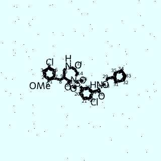 COc1ccc(Cl)cc1CC1CNC(=O)CN(S(=O)(=O)c2ccc(Cl)c(C(=O)NOCc3ccccc3)c2)C1=O